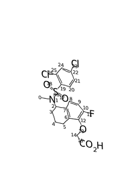 CN(C1CCCc2c1ccc(F)c2OCC(=O)O)S(=O)(=O)c1ccc(Cl)cc1Cl